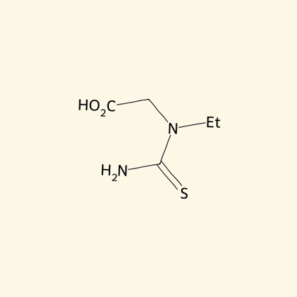 CCN(CC(=O)O)C(N)=S